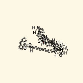 CC(C)[C@H](NC(=O)[C@H](CCC(=O)O)NC(=O)CCOCCOCCOCCOCCNC(=O)CCC(=O)N1Cc2ccccc2/C=C\c2ccccc21)C(=O)N[C@@H](C)C(=O)Nc1ccc2c(c1)[C@@]1(C)CCC[C@](C)(C(=O)NC(=O)[C@@]3(C)CCC[C@]4(C)c5cc(N)ccc5CC[C@@H]34)[C@@H]1CC2